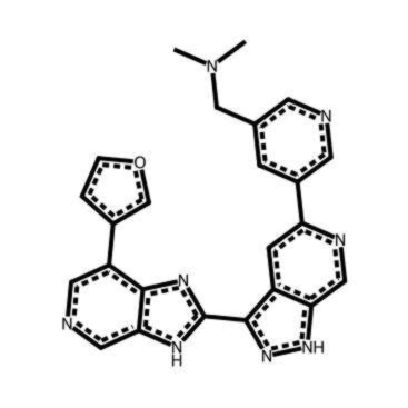 CN(C)Cc1cncc(-c2cc3c(-c4nc5c(-c6ccoc6)cncc5[nH]4)n[nH]c3cn2)c1